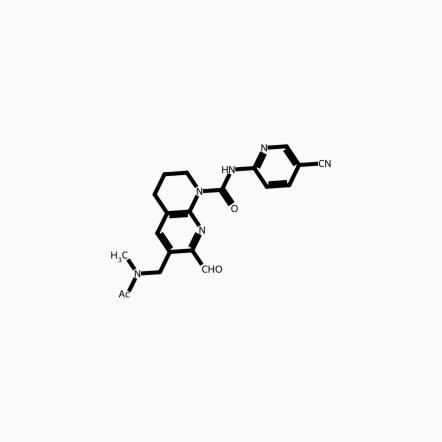 CC(=O)N(C)Cc1cc2c(nc1C=O)N(C(=O)Nc1ccc(C#N)cn1)CCC2